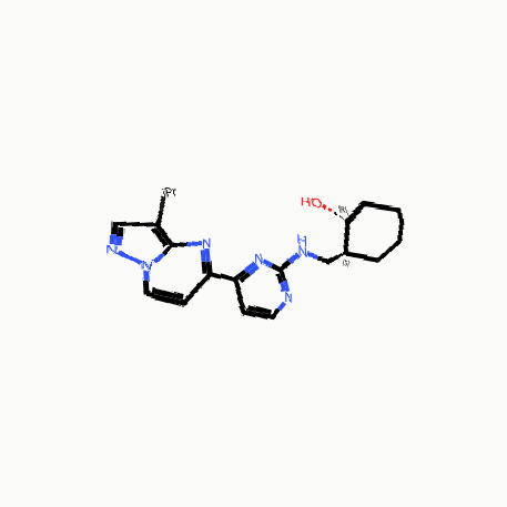 CC(C)c1cnn2ccc(-c3ccnc(NC[C@@H]4CCCC[C@H]4O)n3)nc12